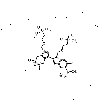 CN(C(=O)O)c1cc2nc(-c3nn(COCC[Si](C)(C)C)c4c3C[C@@H]3C[C@]3(C)C4)n(COCC[Si](C)(C)C)c2cc1F